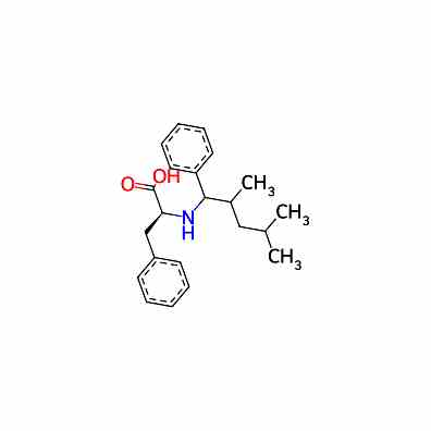 CC(C)CC(C)C(N[C@@H](Cc1ccccc1)C(=O)O)c1ccccc1